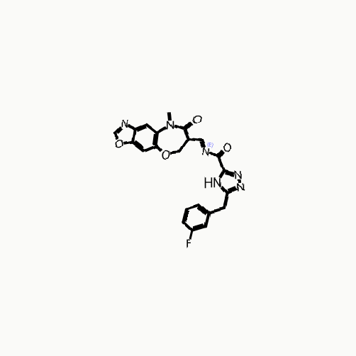 CN1C(=O)C(/C=N/C(=O)c2nnc(Cc3cccc(F)c3)[nH]2)COc2cc3ocnc3cc21